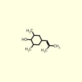 CC(C)=CC1CC(C)C(O)C(C)C1